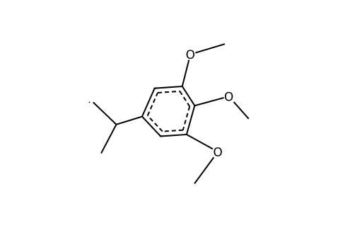 [CH2]C(C)c1cc(OC)c(OC)c(OC)c1